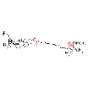 CCCCCc1oc(CCCCCCCCCCCCC(=O)OC2CCC3(C)C(=CCC4C3CCC3(C)C(C(C)CCCC(C)C)CCC43)C2)c(C)c1C